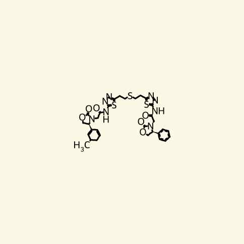 CC1C=C([C@H]2COC(=O)N2CC(=O)Nc2nnc(CCSCCc3nnc(NC(=O)CN4C(=O)OC[C@@H]4c4ccccc4)s3)s2)C=CC1